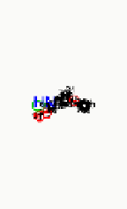 COCOC1=C(Cl)NC(CC2C(C)CC(OCc3ccccc3)=C(C)C2C)C=C1